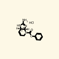 Cl.NC1=N[C@H]2[C@H](C=CCN2C(=O)Oc2ccccc2)N1